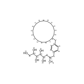 CN(Cc1ccc(CC2CCCCCCCCCCCCCCCC2)cc1)CC(O)C(O)C(O)C(O)CO